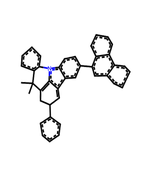 CC1(C)C2=c3c(c4cc(-c5cc6ccccc6c6ccccc56)ccc4n3-c3ccccc31)=CC(c1ccccc1)C2